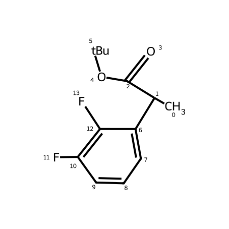 CC(C(=O)OC(C)(C)C)c1cccc(F)c1F